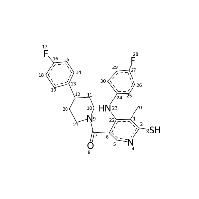 Cc1c(S)ncc(C(=O)N2CCC(c3ccc(F)cc3)CC2)c1Nc1ccc(F)cc1